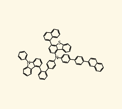 c1ccc(-n2c3ccccc3c3c(-c4ccccc4-c4ccc(N(c5ccc(-c6ccc(-c7ccc8ccccc8c7)cc6)cc5)c5ccc(-c6cccc7ccccc67)c6sc7ccccc7c56)cc4)cccc32)cc1